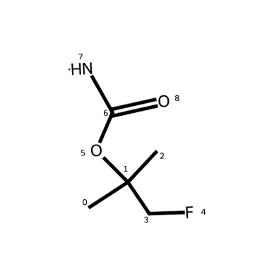 CC(C)(CF)OC([NH])=O